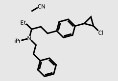 CC#N.CCC(CCc1ccc(C2CC2Cl)cc1)N(CCc1ccccc1)C(C)C